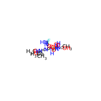 COC(=O)N1CCN(C2CC3(CCN(c4ccc(C(=O)NS(=O)(=O)c5cnc(NCC6CCC(C)(O)CC6)c([N+](=O)[O-])c5)c(Oc5cnc6[nH]cc(F)c6c5)c4)CC3)C2)[C@H](c2ccccc2C(C)C)C1